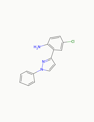 Nc1ccc(Cl)cc1-c1ccn(-c2ccccc2)n1